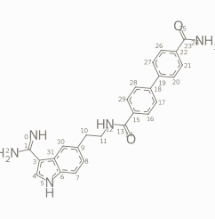 N=C(N)c1c[nH]c2ccc(CCNC(=O)c3ccc(-c4ccc(C(N)=O)cc4)cc3)cc12